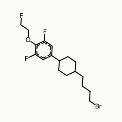 FCCOc1c(F)cc(C2CCC(CCCCBr)CC2)cc1F